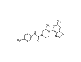 Cc1ccc(NC(=O)N2CCN(c3nc(N)nc4scnc34)C(C)C2)cc1